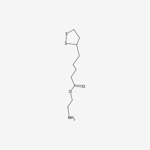 NCCOC(=O)CCCCC1CCSS1